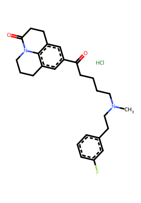 CN(CCCCC(=O)c1cc2c3c(c1)CCC(=O)N3CCC2)CCc1cccc(F)c1.Cl